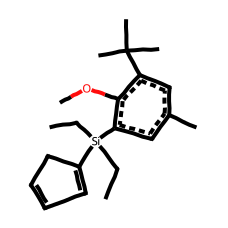 CC[Si](CC)(C1=CC=CC1)c1cc(C)cc(C(C)(C)C)c1OC